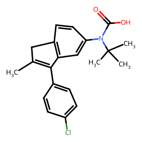 CC1=C(c2ccc(Cl)cc2)c2cc(N(C(=O)O)C(C)(C)C)ccc2C1